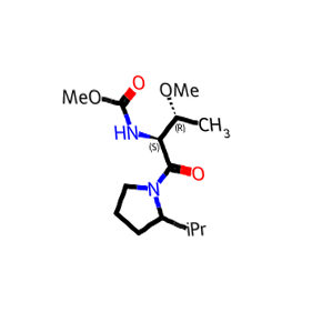 COC(=O)N[C@H](C(=O)N1CCCC1C(C)C)[C@@H](C)OC